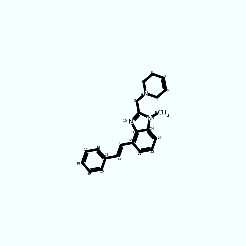 Cn1c(CN2CC=CCC2)nc2c(C=Cc3ccccc3)cccc21